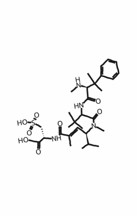 CN[C@H](C(=O)NC(C(=O)N(C)[C@H](/C=C(\C)C(=O)N[C@@H](CS(=O)(=O)O)C(=O)O)C(C)C)C(C)(C)C)C(C)(C)c1ccccc1